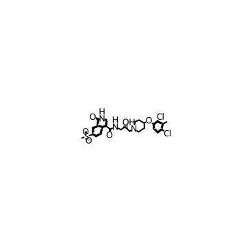 Cc1c(Cl)ccc(OC2CCN(C[C@H](O)CNC(=O)c3c[nH]c(=O)c4cc(S(C)(=O)=O)ccc34)CC2)c1Cl